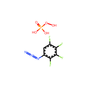 O=P(O)(O)OO.[N-]=[N+]=Nc1cc(F)c(F)c(F)c1F